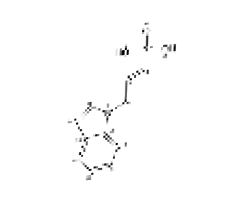 O=P(O)(O)C=CCn1cnc2cncnc21